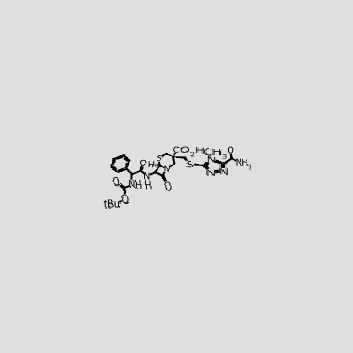 Cn1c(SCC2(C(=O)O)CS[C@@H]3C(NC(=O)C(NC(=O)OC(C)(C)C)c4ccccc4)C(=O)N3C2)nnc1C(N)=O